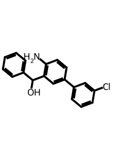 Nc1ccc(-c2cccc(Cl)c2)cc1C(O)c1ccccc1